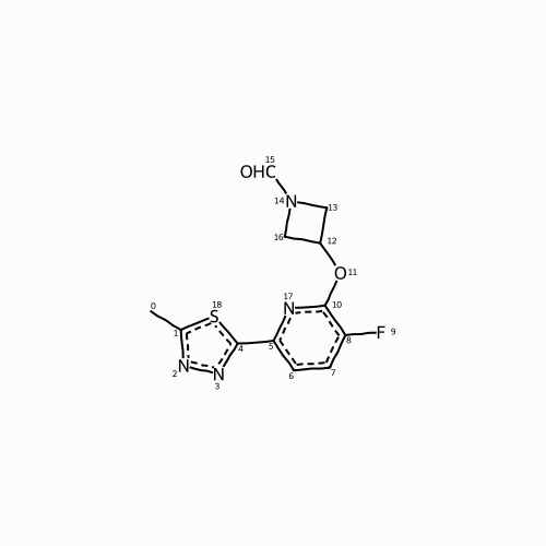 Cc1nnc(-c2ccc(F)c(OC3CN(C=O)C3)n2)s1